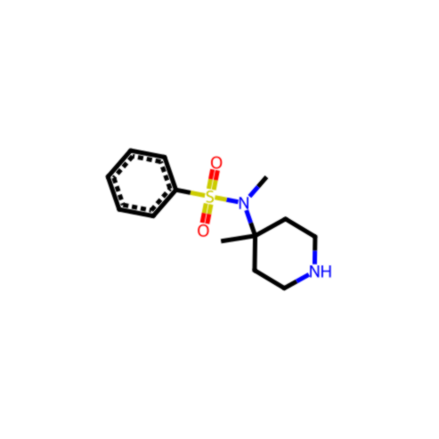 CN(C1(C)CCNCC1)S(=O)(=O)c1ccccc1